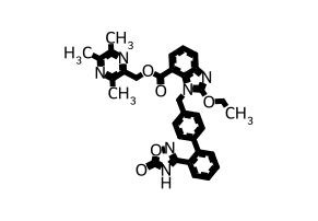 CCOc1nc2cccc(C(=O)OCc3nc(C)c(C)nc3C)c2n1Cc1ccc(-c2ccccc2-c2noc(=O)[nH]2)cc1